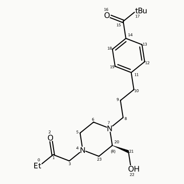 CCC(=O)CN1CCN(CCCc2ccc(C(=O)C(C)(C)C)cc2)[C@@H](CO)C1